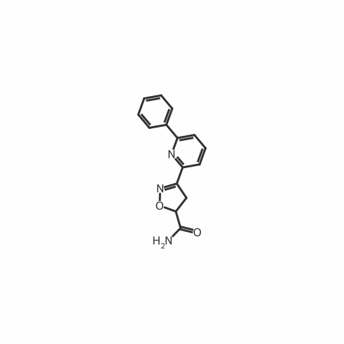 NC(=O)C1CC(c2cccc(-c3ccccc3)n2)=NO1